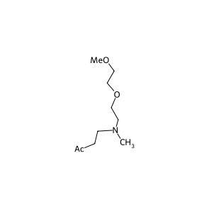 COCCOCCN(C)CCC(C)=O